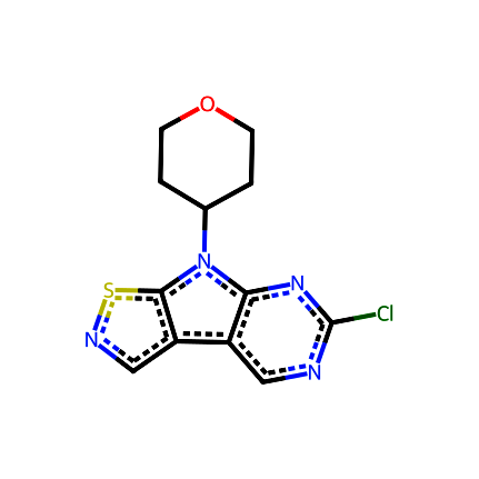 Clc1ncc2c3cnsc3n(C3CCOCC3)c2n1